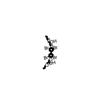 C=CCOCC(O)COc1c(Br)cc(-c2cc(Br)c(OCC(O)COCC=C)c(Br)c2)cc1Br